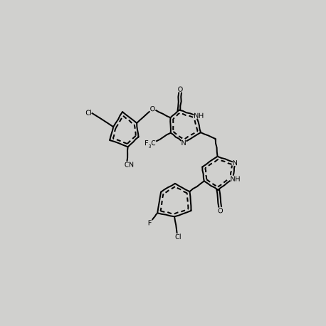 N#Cc1cc(Cl)cc(Oc2c(C(F)(F)F)nc(Cc3cc(-c4ccc(F)c(Cl)c4)c(=O)[nH]n3)[nH]c2=O)c1